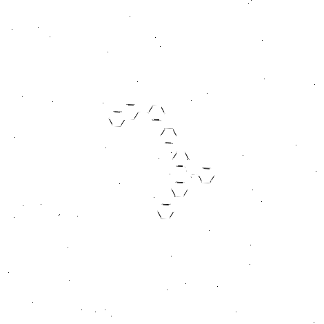 c1ccc(-c2ccc(N(c3ccccc3)c3ccc(-c4ccc(-c5cccc(-c6ccc7ccccc7c6)c5)cc4)cc3)cc2)cc1